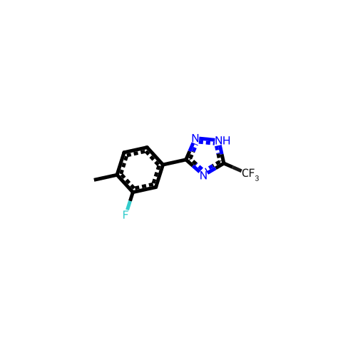 Cc1ccc(-c2n[nH]c(C(F)(F)F)n2)cc1F